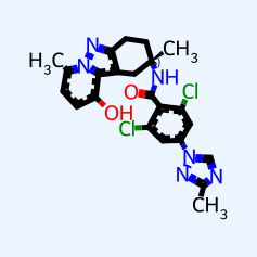 Cc1ncn(-c2cc(Cl)c(C(=O)N[C@@]3(C)CCc4nn5c(C)ccc(O)c5c4C3)c(Cl)c2)n1